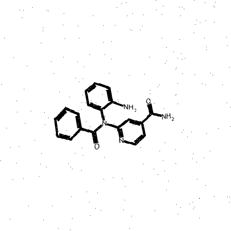 NC(=O)c1ccnc(N(C(=O)c2ccccc2)c2ccccc2N)c1